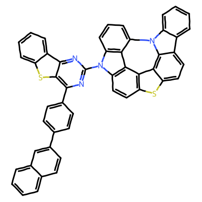 c1ccc2cc(-c3ccc(-c4nc(-n5c6ccc7sc8ccc9c%10ccccc%10n%10c%11cccc5c%11c6c7c8c9%10)nc5c4sc4ccccc45)cc3)ccc2c1